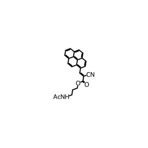 CC(=O)NCCCOC(=O)/C(C#N)=C/c1ccc2ccc3cccc4ccc1c2c34